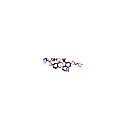 COCCOc1cc(C2(NC(=O)c3cc(OC([SiH3])[C@@H]4CCN4C)ccc3C)CC2)c2cccnc2c1